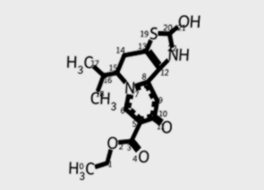 CCOC(=O)c1cn2c(cc1=O)C1=C(CC2C(C)C)SC(O)N1